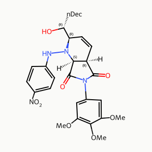 CCCCCCCCCC[C@@H](O)[C@H]1C=C[C@H]2C(=O)N(c3cc(OC)c(OC)c(OC)c3)C(=O)[C@H]2N1Nc1ccc([N+](=O)[O-])cc1